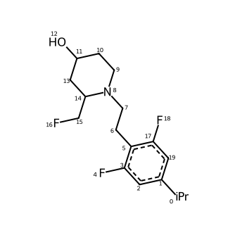 CC(C)c1cc(F)c(CCN2CCC(O)CC2CF)c(F)c1